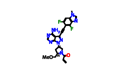 C=CC(=O)N1C[C@@H](n2nc(C#Cc3c(F)cc4c(ncn4C)c3F)c3c(N)ncnc32)C[C@@H]1COC